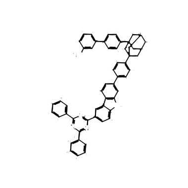 N#Cc1cccc(-c2ccc(C34CC5CC(C3)CC(c3ccc(-c6ccc7c(c6)sc6ccc(-c8nc(-c9ccccc9)nc(-c9ccccc9)n8)cc67)cc3)(C5)C4)cc2)c1